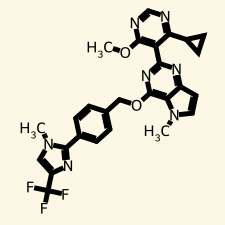 COc1ncnc(C2CC2)c1-c1nc(OCc2ccc(-c3nc(C(F)(F)F)cn3C)cc2)c2c(ccn2C)n1